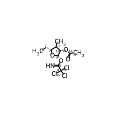 CC[C@H]1O[C@@H](OC(=N)C(Cl)(Cl)Cl)[C@@H](OC(C)=O)C1C